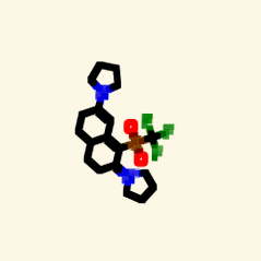 O=S(=O)(C1=C2C=C(N3CCCC3)CCC2CCC1=[N+]1CCCC1)C(F)(F)F